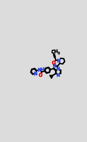 CC#CC(=O)N1CCCCC1c1nc(-c2ccc(C(=O)Nc3ccccn3)cc2)c2c(C3CC3)nccn12